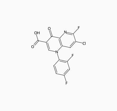 O=C(O)c1cn(-c2ccc(F)cc2F)c2cc(Cl)c(F)nc2c1=O